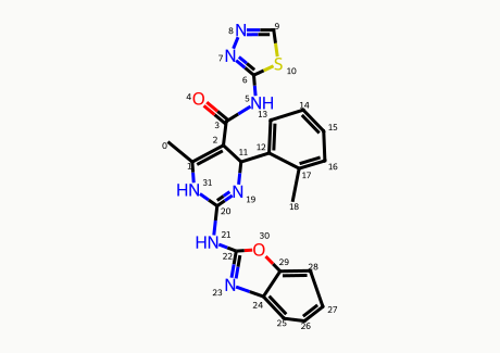 CC1=C(C(=O)Nc2nncs2)C(c2ccccc2C)N=C(Nc2nc3ccccc3o2)N1